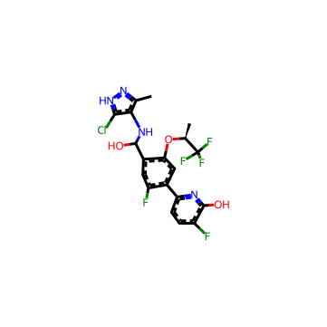 Cc1n[nH]c(Cl)c1NC(O)c1cc(F)c(-c2ccc(F)c(O)n2)cc1O[C@@H](C)C(F)(F)F